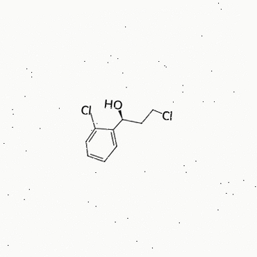 O[C@@H](CCCl)c1ccccc1Cl